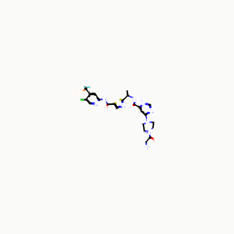 CC(NC(=O)c1cc(N2CCN(C(=O)CN)CC2)ncn1)c1ncc(C(=O)Nc2cc(C(F)(F)P)c(Cl)cn2)s1